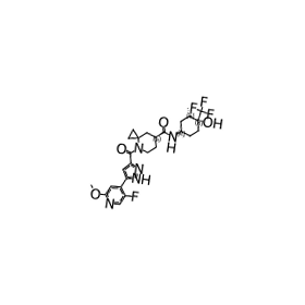 COc1cc(-c2cc(C(=O)N3CC[C@H](C(=O)N[C@@H]4CC[C@](O)(C(F)(F)F)[C@@H](C)C4)CC34CC4)n[nH]2)c(F)cn1